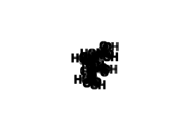 CC(Nc1nc(Nc2cc(Cl)c(N=Nc3cc(C(=O)O)cc(C(=O)O)c3)cc2O)nc(Nc2cc(Cl)c(N=Nc3cc(C(=O)O)cc(C(=O)O)c3)cc2OCCCS(=O)(=O)O)n1)C(=O)O